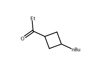 CCCCC1CC(C(=O)CC)C1